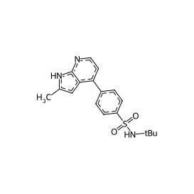 Cc1cc2c(-c3ccc(S(=O)(=O)NC(C)(C)C)cc3)ccnc2[nH]1